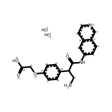 Cl.Cl.NCC(C(=O)Nc1ccc2cnccc2c1)c1ccc(OCC(=O)O)cc1